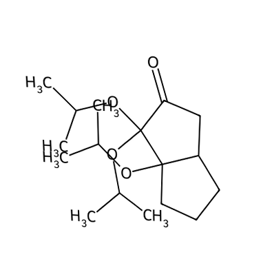 CC(C)OC1(OC(C)C)C(=O)CC2CCCC21OC(C)C